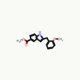 COC(=O)c1ccc2[nH]c(Cc3ccccc3OC)cc2c1